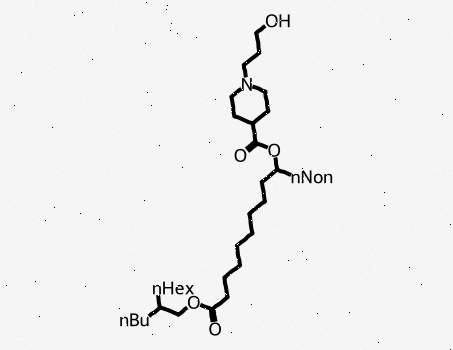 CCCCCCCCCC(CCCCCCCCC(=O)OCC(CCCC)CCCCCC)OC(=O)C1CCN(CCCO)CC1